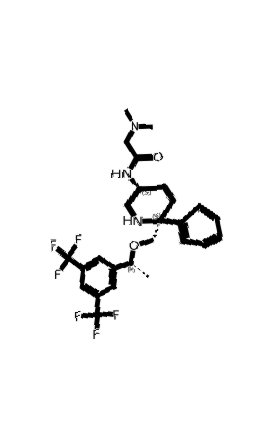 C[C@@H](OC[C@@]1(c2ccccc2)CC[C@H](NC(=O)CN(C)C)CN1)c1cc(C(F)(F)F)cc(C(F)(F)F)c1